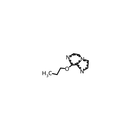 CCCOc1nccn2ccnc12